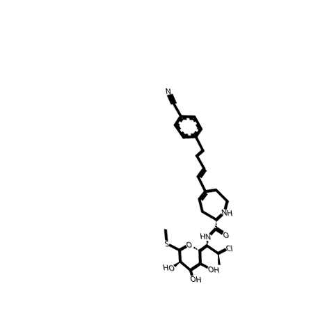 CSC1O[C@H]([C@H](NC(=O)[C@@H]2CC=C(/C=C/CCc3ccc(C#N)cc3)CCN2)[C@H](C)Cl)C(O)C(O)[C@H]1O